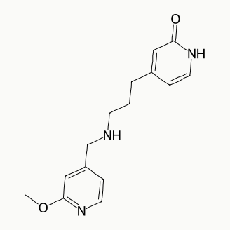 COc1cc(CNCCCc2cc[nH]c(=O)c2)ccn1